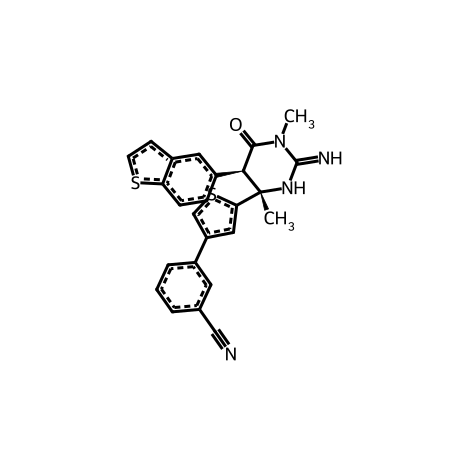 CN1C(=N)N[C@](C)(c2cc(-c3cccc(C#N)c3)cs2)[C@@H](c2ccc3sccc3c2)C1=O